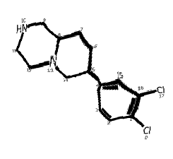 Clc1ccc(C2CCC3CNCCN3C2)cc1Cl